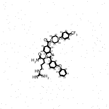 N=C(N)NCCCC(C(N)=O)n1c(-c2cccc(Oc3ccccc3)c2)nc2cc(C(=O)N3CCN(c4ccc(C(F)(F)F)cc4)CC3)ccc21